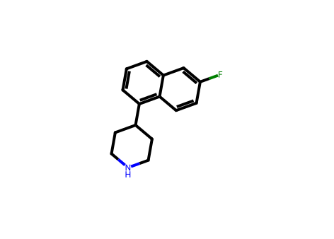 Fc1ccc2c(C3CCNCC3)cccc2c1